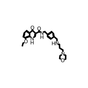 CCOc1cccc2c(=O)c(C(=O)NCc3ccc(CNCCCN4CCOCC4)cc3)c[nH]c12